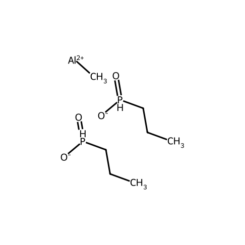 CCC[PH](=O)[O-].CCC[PH](=O)[O-].[CH3][Al+2]